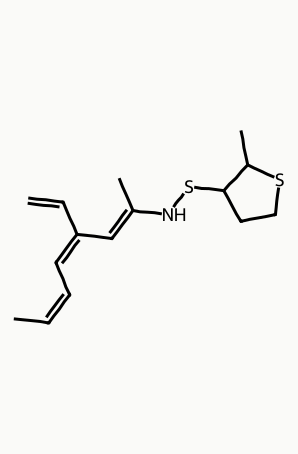 C=CC(=C/C=C\C)/C=C(\C)NSC1CCSC1C